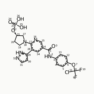 O=C(Nc1ccc(OC(F)(F)Cl)cc1)c1cnc(N2CC[C@@H](OP(=O)(O)O)C2)c(-c2ccn[nH]2)c1